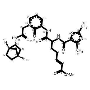 COC(=O)/C=C/CCC(NC(=O)c1sc(C(F)(F)F)nc1C)C(=O)Nc1cccn(CC(=O)N[C@@H]2C[C@@H]3CC[C@H]2C3)c1=O